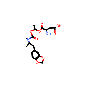 CC(OC(=O)C(N)CC(=O)O)OC(=O)N(C)C(C)Cc1ccc2c(c1)OCO2